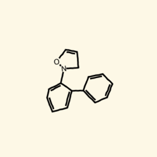 C1=CON(c2ccccc2-c2ccccc2)C1